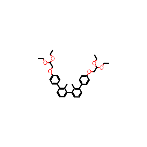 CCOC(COc1ccc(-c2cccc(-c3cccc(-c4ccc(OCC(OCC)OCC)cc4)c3C)c2C)cc1)OCC